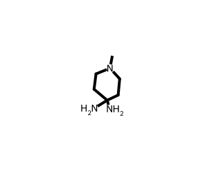 CN1CCC(N)(N)CC1